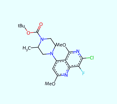 COc1cc(N2CCN(C(=O)OC(C)(C)C)C(C)C2)c2c(OC)nc(Cl)c(F)c2n1